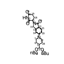 CCCCOC(OCCCC)C1CCN(c2ccc3c(c2)CN([C@@H]2CCC(=O)NC2=O)C3=O)CC1